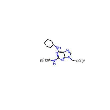 CCCCCNc1nc(NC2CCCCC2)c2ncn(CC(=O)O)c2n1